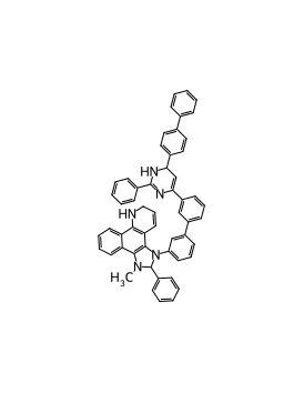 CN1c2c(c3c(c4ccccc24)NCC=C3)N(c2cccc(-c3cccc(C4=CC(c5ccc(-c6ccccc6)cc5)NC(c5ccccc5)=N4)c3)c2)C1c1ccccc1